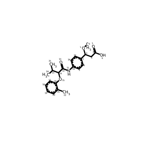 COC(CC(=O)O)c1ccc(NC(=O)C(Oc2ccccc2C)C(C)C)cc1